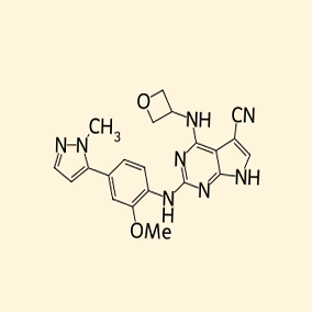 COc1cc(-c2ccnn2C)ccc1Nc1nc(NC2COC2)c2c(C#N)c[nH]c2n1